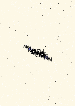 CC(C)(c1ccc(/N=N/C#N)cc1)c1ccc(/N=N/C#N)cc1